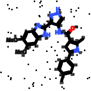 COc1cc2nc(-c3n[nH]cc3NC(=O)C3=C(C)N=C(c4ccc(C)cc4)C3)[nH]c2cc1OC